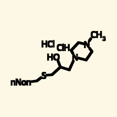 CCCCCCCCCCSCC(O)CN1CCN(C)CC1.Cl.Cl